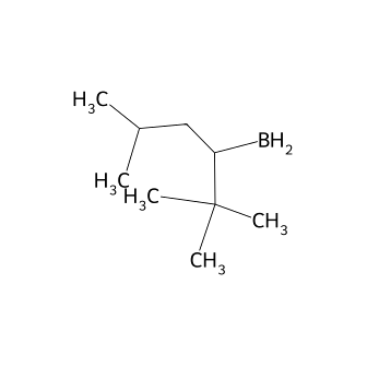 BC(CC(C)C)C(C)(C)C